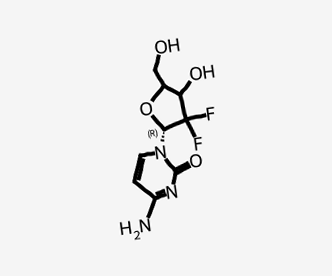 Nc1ccn([C@@H]2OC(CO)C(O)C2(F)F)c(=O)n1